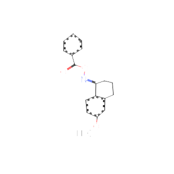 COc1ccc2c(c1)CCC/C2=N\OC(=O)c1ccccc1